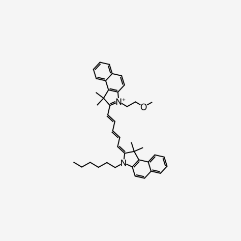 CCCCCCN1/C(=C/C=C/C=C/C2=[N+](CCOC)c3ccc4ccccc4c3C2(C)C)C(C)(C)c2c1ccc1ccccc21